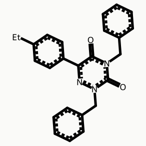 CCc1ccc(-c2nn(Cc3ccccc3)c(=O)n(Cc3ccccc3)c2=O)cc1